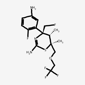 C[C@@H]1[C@@](C)(COCC(F)(F)F)SC(N)=N[C@]1(CF)c1cc(N)ccc1F